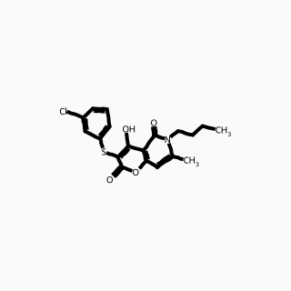 CCCCn1c(C)cc2oc(=O)c(Sc3cccc(Cl)c3)c(O)c2c1=O